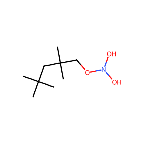 CC(C)(C)CC(C)(C)CON(O)O